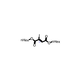 CCCCCCOC(=O)/C=C(\I)C(=O)OCCCCCC